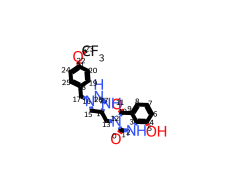 O=c1[nH]c2c(O)cccc2c(=O)n1CC1CN(Cc2ccc(OC(F)(F)F)cc2)NN1